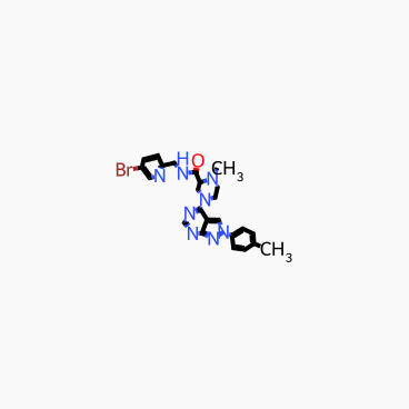 Cc1ccc(-n2cc3c(N4CCN(C)C(C(=O)NCc5ccc(Br)cn5)C4)ncnc3n2)cc1